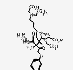 CCCCCCCC(N(CC(=O)O)CC(=O)O)C(C)(CCCCCN(CC(=O)O)CC(=O)O)C(N)(C(=O)COc1ccccc1)C(=O)NN